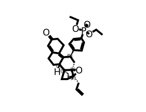 C=CC[C@]12CC[C@H]3[C@@H]4CCC5=CC(=O)CCC5=C4[C@@H](c4ccc(P(=O)(OCC)OCC)cc4)C[C@@]31O2